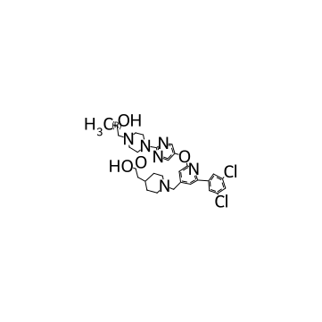 C[C@@H](O)CN1CCN(c2ncc(Oc3cc(CN4CCC(CC(=O)O)CC4)cc(-c4cc(Cl)cc(Cl)c4)n3)cn2)CC1